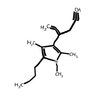 C#CCC(=C)c1c(C)c(CCC)n(C)c1C